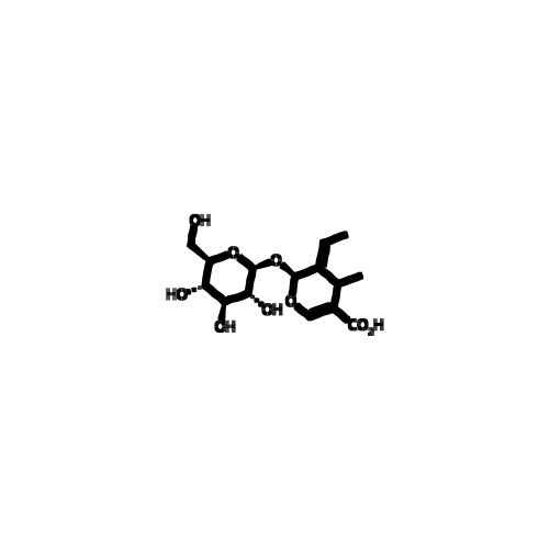 C/C=C1\C(C)C(C(=O)O)=CO[C@H]1O[C@@H]1O[C@H](CO)[C@@H](O)[C@H](O)[C@H]1O